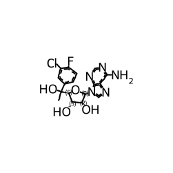 CC(O)(c1ccc(F)c(Cl)c1)[C@H]1O[C@@H](n2cnc3c(N)ncnc32)[C@H](O)[C@@H]1O